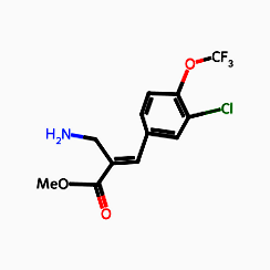 COC(=O)/C(=C/c1ccc(OC(F)(F)F)c(Cl)c1)CN